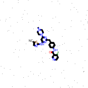 CN1CCN(c2cc(Nc3ncc(C#N)s3)nc(Cc3ccc(NC(=O)c4cnccc4F)cc3)n2)CC1